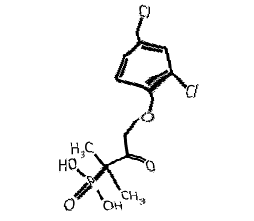 CC(C)(C(=O)COc1ccc(Cl)cc1Cl)P(=O)(O)O